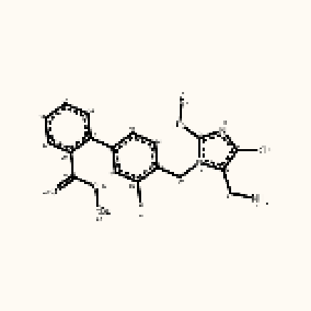 CCOc1nc(Cl)c(CN)n1Cc1ccc(-c2ccccc2C(=O)OC(C)(C)C)cc1F